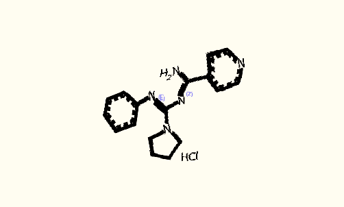 Cl.N/C(=N\C(=N\c1ccccc1)N1CCCC1)c1ccncc1